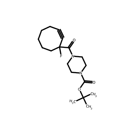 CC(C)(C)OC(=O)N1CCN(C(=O)C2(F)C#CCCCCC2)CC1